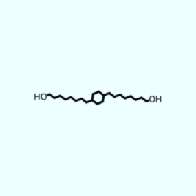 OCCCCCCCCC1CCC(CCCCCCCCO)CC1